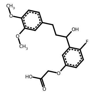 COc1ccc(CCC(O)c2cc(OCC(=O)O)ccc2F)cc1OC